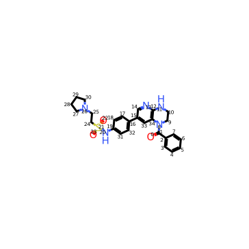 O=C(c1ccccc1)N1CCNc2ncc(-c3ccc(NS(=O)(=O)CCN4CCCC4)cc3)cc21